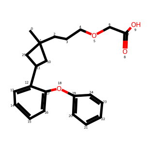 CC1(CCCOCC(=O)O)CC(c2ccccc2Oc2ccccc2)C1